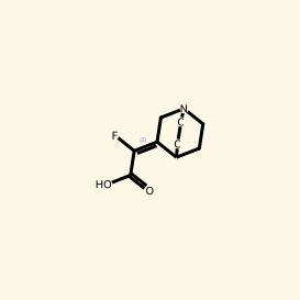 O=C(O)/C(F)=C1/CN2CCC1CC2